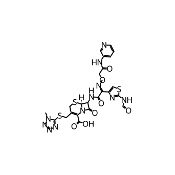 Cn1nnnc1SCC1=C(C(=O)O)N2C(=O)C(NC(=O)C(=NOCC(=O)Nc3cccnc3)c3csc(NC=O)n3)[C@@H]2SC1